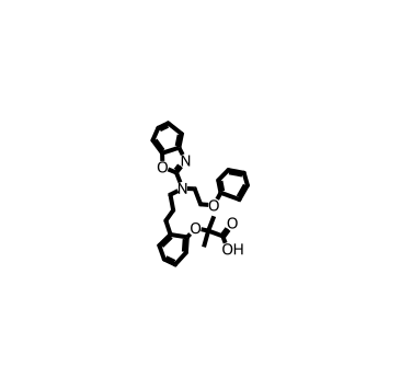 CC(C)(Oc1ccccc1CCCN(CCOc1ccccc1)c1nc2ccccc2o1)C(=O)O